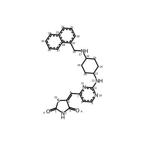 O=C1NC(=O)/C(=C\c2ccnc(NC3CCC(NCc4cccc5ccccc45)CC3)n2)S1